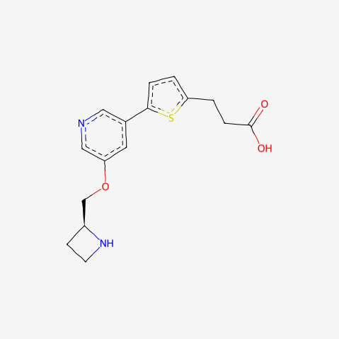 O=C(O)CCc1ccc(-c2cncc(OC[C@@H]3CCN3)c2)s1